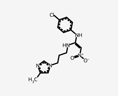 Cc1cn(CCCN/C(=C\[N+](=O)[O-])Nc2ccc(Cl)cc2)cn1